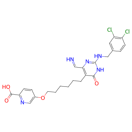 N=Cc1nc(NCc2ccc(Cl)c(Cl)c2)[nH]c(=O)c1CCCCCCOc1ccc(C(=O)O)nc1